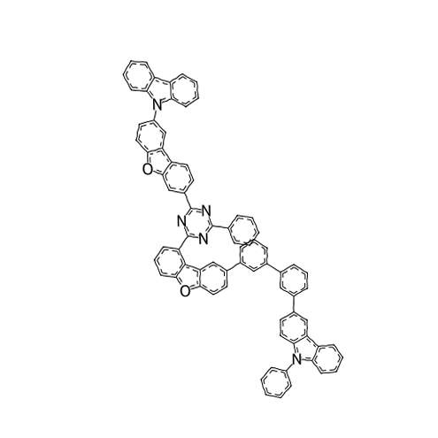 c1ccc(-c2nc(-c3ccc4c(c3)oc3ccc(-n5c6ccccc6c6ccccc65)cc34)nc(-c3cccc4oc5ccc(-c6cccc(-c7cccc(-c8ccc9c(c8)c8ccccc8n9-c8ccccc8)c7)c6)cc5c34)n2)cc1